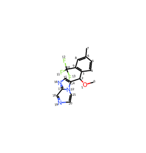 COC(c1ccc(C)cc1C(F)(F)F)c1cnc2cnccn12